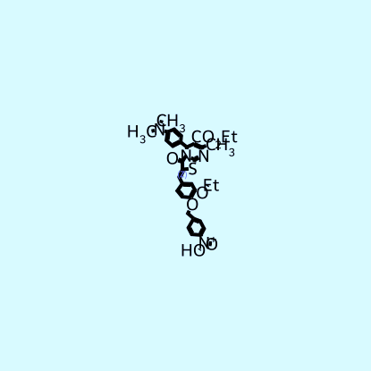 CCOC(=O)C1=C(C)N=c2s/c(=C\c3ccc(OCc4ccc([N+](=O)O)cc4)c(OCC)c3)c(=O)n2C1c1ccc(N(C)C)cc1